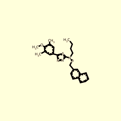 CCCCN(OCc1ccc2ccccc2c1)c1nnc(-c2cc(C)c(OC)c(C)c2)s1